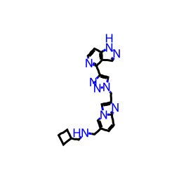 c1cc2[nH]ncc2c(-c2cn(Cc3cn4cc(CNCC5CCC5)ccc4n3)nn2)n1